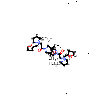 CC12CN(C(=O)C[N+]3(CC4CCCO4)CCC[C@H]3C(=O)O)CC(C)(CN(C(=O)C[N+]3(CC4CCCO4)CCC[C@H]3C(=O)O)C1)C2=O